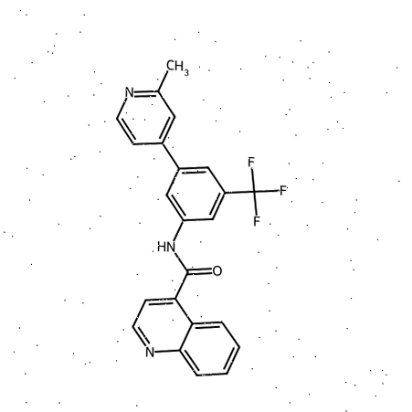 Cc1cc(-c2cc(NC(=O)c3ccnc4ccccc34)cc(C(F)(F)F)c2)ccn1